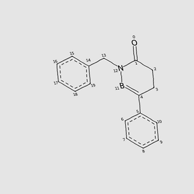 O=C1CCC(c2ccccc2)=BN1Cc1ccccc1